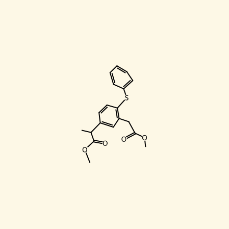 COC(=O)Cc1cc(C(C)C(=O)OC)ccc1Sc1ccccc1